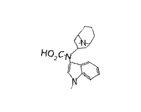 CN1C2CCCC1CC(N(C(=O)O)c1cn(C)c3ccccc13)C2